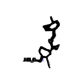 Cc1ccc(COC(=O)N2CC/C(=C\C(=O)O)C(F)C2)cc1